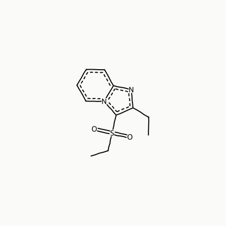 CCc1nc2ccccn2c1S(=O)(=O)CC